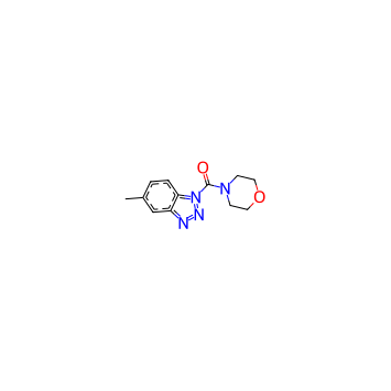 Cc1ccc2c(c1)nnn2C(=O)N1CCOCC1